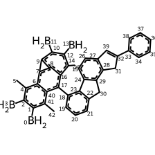 Bc1c(B)c(C)c2c3c4c-3c(B)c(B)c(C)c4c(-c3cccc4c3-c3ccc5c(c3C4)CC(c3ccccc3)=C5)c2c1C